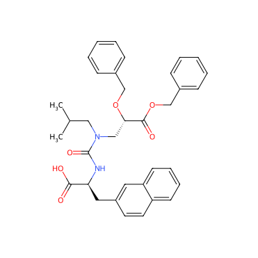 CC(C)CN(C[C@H](OCc1ccccc1)C(=O)OCc1ccccc1)C(=O)N[C@@H](Cc1ccc2ccccc2c1)C(=O)O